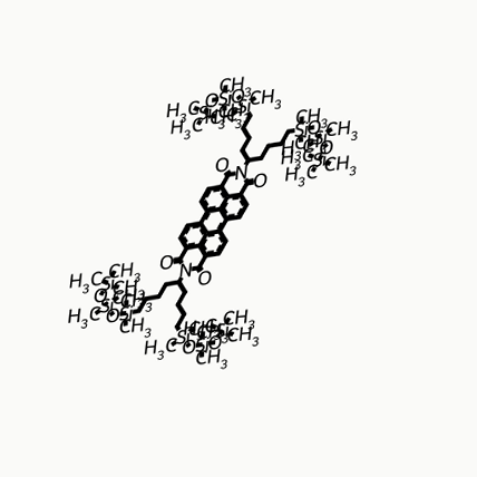 C[Si](C)(C)O[Si](C)(C)O[Si](C)(C)CCCCC(CCCC[Si](C)(C)O[Si](C)(C)O[Si](C)(C)C)N1C(=O)c2ccc3c4ccc5c6c(ccc(c7ccc(c2c37)C1=O)c64)C(=O)N(C(CCCC[Si](C)(C)O[Si](C)(C)O[Si](C)(C)C)CCCC[Si](C)(C)O[Si](C)(C)O[Si](C)(C)C)C5=O